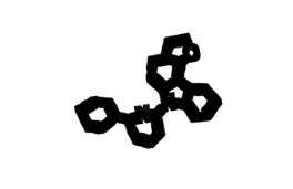 c1ccc(-c2cccc(-n3c4ccccc4c4c5occc5ccc43)n2)cc1